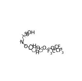 CN(CCOc1ccc2c(c1)CC[C@@H]1[C@@H]2CC[C@]2(C)[C@@H](OCCCOC(C(F)(F)F)(C(F)(F)F)C(F)(F)F)CC[C@@H]12)CCC(C)(C)SSO